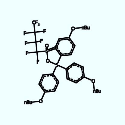 CCCCOc1ccc(S(OS(=O)(=O)C(F)(F)C(F)(F)C(F)(F)C(F)(F)F)(c2ccc(OCCCC)cc2)c2ccc(OCCCC)cc2)cc1